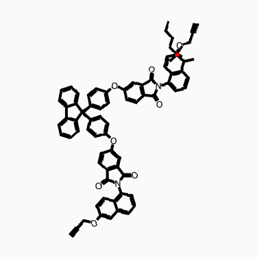 C#CCOC(=C)/C=C\c1c(C(C)C(C)(C)CCCC)cccc1N1C(=O)c2ccc(Oc3ccc(C4(c5ccc(Oc6ccc7c(c6)C(=O)N(c6cccc8cc(OCC#C)ccc68)C7=O)cc5)c5ccccc5-c5ccccc54)cc3)cc2C1=O